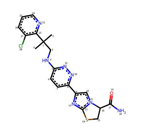 CC(C)(CNc1ccc(-c2cn3c(n2)SCC3C(N)=O)nn1)c1ncccc1Cl